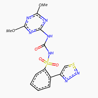 COc1nc(NC(=O)NS(=O)(=O)c2ccccc2-c2csnn2)nc(OC)n1